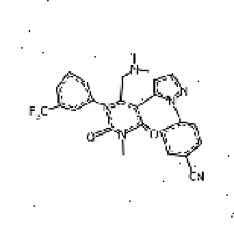 CN(C)Cc1c(-c2ccnn2-c2ccc(C#N)cc2)c(=O)n(C)c(=O)n1-c1cccc(C(F)(F)F)c1